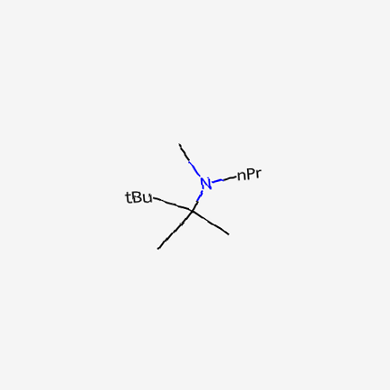 CCCN(C)C(C)(C)C(C)(C)C